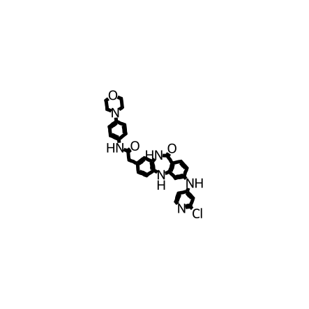 O=C(Cc1ccc2c(c1)NC(=O)c1ccc(Nc3ccnc(Cl)c3)cc1N2)Nc1ccc(N2CCOCC2)cc1